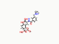 CNCc1cccc(C(=O)N[C@@H](Cc2cccc(C(=O)O)c2OC=O)B(O)O)c1